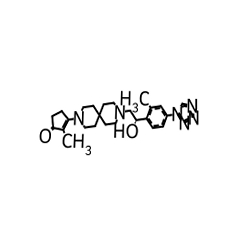 CC1=C(N2CCC3(CCN(C[C@@H](O)c4ccc(-n5cnnn5)cc4C)CC3)CC2)CCC1=O